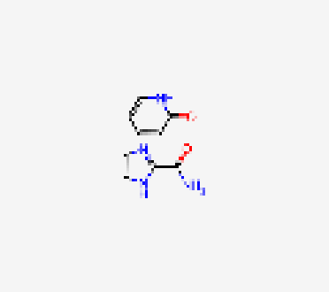 NC(=O)c1ncc[nH]1.O=c1cccc[nH]1